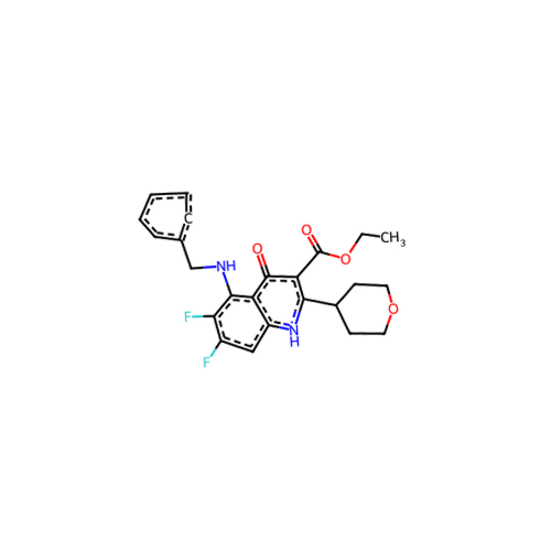 CCOC(=O)c1c(C2CCOCC2)[nH]c2cc(F)c(F)c(NCc3ccccc3)c2c1=O